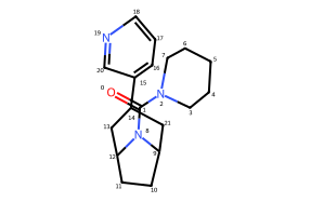 O=C(N1CCCCC1)N1C2CCC1CC(c1cccnc1)C2